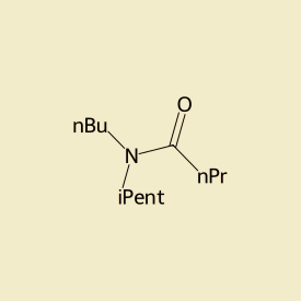 CCCCN(C(=O)CCC)C(C)CCC